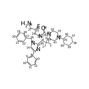 CC(C)(C)[C@H](c1nc(-c2ccccc2)cn1Cc1ccccc1)N(CC(F)CN)C(=O)N1CCN(C2CCCCC2)CC1